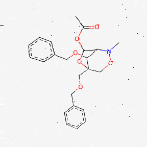 CC(=O)OC1OC2(COCc3ccccc3)CON(C)C1C2OCc1ccccc1